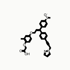 Cc1cc(OC/C=C(\c2ccc(C#CCn3cccn3)cc2)c2ccc([S+](C)[O-])cc2)ccc1OCC(=O)O